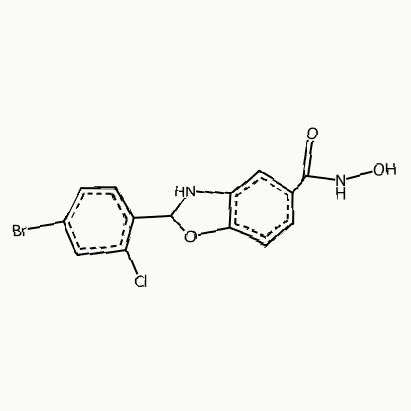 O=C(NO)c1ccc2c(c1)NC(c1ccc(Br)cc1Cl)O2